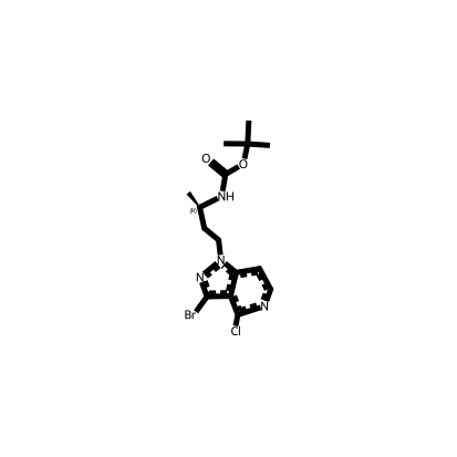 C[C@H](CCn1nc(Br)c2c(Cl)nccc21)NC(=O)OC(C)(C)C